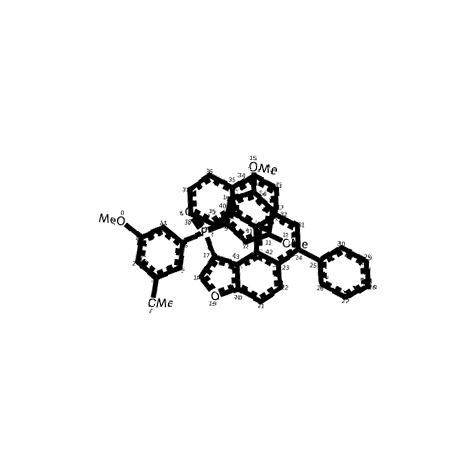 COc1cc(OC)cc(P(=O)(c2cc(OC)cc(OC)c2)c2coc3ccc4c(-c5ccccc5)cc5ccc6ccccc6c5c4c23)c1